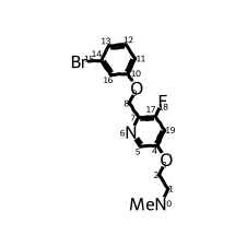 CNCCOc1cnc(COc2cccc(Br)c2)c(F)c1